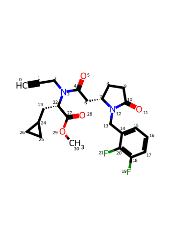 C#CCN(C(=O)C[C@@H]1CCC(=O)N1Cc1cccc(F)c1F)[C@@H](CC1CC1)C(=O)OC